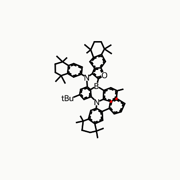 Cc1ccc2c(c1)B1c3oc4cc5c(cc4c3N(c3ccc4c(c3)C(C)(C)CCC4(C)C)c3cc(C(C)(C)C)cc(c31)N2c1cc2c(cc1-c1ccccc1)C(C)(C)CCC2(C)C)C(C)(C)CCC5(C)C